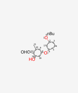 CCCCOc1cccc(Oc2cc(C)c(C=O)c(O)c2)c1